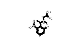 CC(c1c(Cl)cccc1[N+](=O)[O-])N(C)CC(=O)O